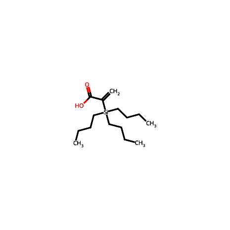 C=C(C(=O)O)[Si](CCCC)(CCCC)CCCC